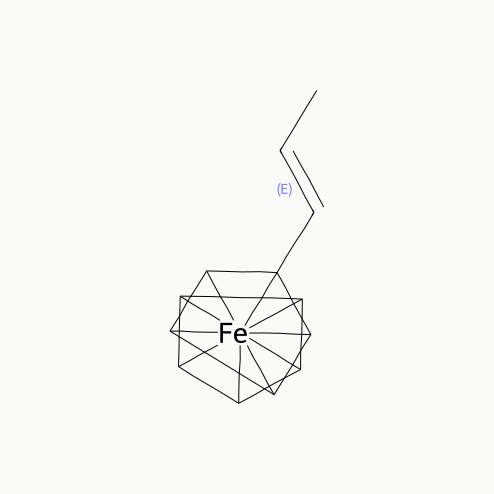 C/C=C/[C]12[CH]3[CH]4[CH]5[CH]1[Fe]45321678[CH]2[CH]1[CH]6[CH]7[CH]28